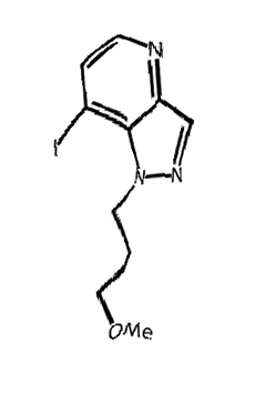 COCCCn1ncc2nccc(I)c21